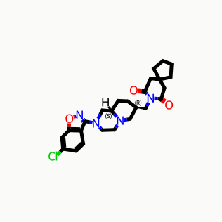 O=C1CC2(CCCC2)CC(=O)N1C[C@@H]1CC[C@H]2CN(c3noc4cc(Cl)ccc34)CCN2C1